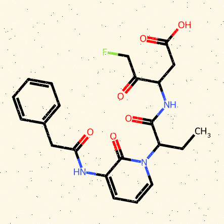 CCC(C(=O)NC(CC(=O)O)C(=O)CF)n1cccc(NC(=O)Cc2ccccc2)c1=O